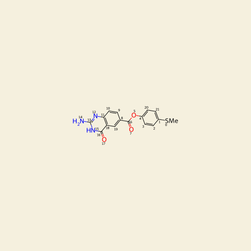 CSc1ccc(OC(=O)c2ccc3nc(N)[nH]c(=O)c3c2)cc1